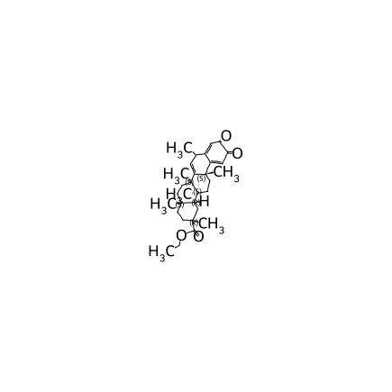 CCOC(=O)[C@]1(C)CC[C@]2(C)CC[C@]3(C)C4=CC(C)C5=CC(=O)C(=O)C=C5[C@]4(C)CC[C@@]3(C)[C@@H]2C1